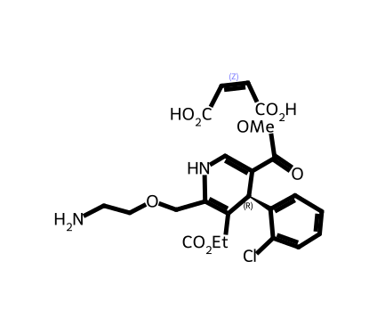 CCOC(=O)C1=C(COCCN)NC=C(C(=O)OC)[C@H]1c1ccccc1Cl.O=C(O)/C=C\C(=O)O